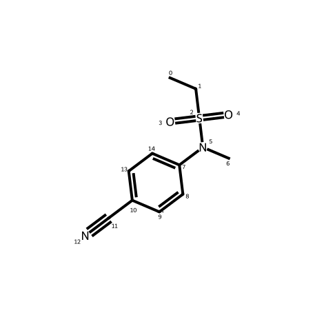 CCS(=O)(=O)N(C)c1c[c]c(C#N)cc1